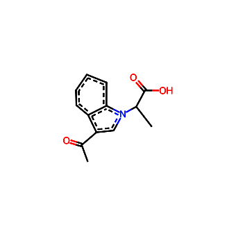 CC(=O)c1cn(C(C)C(=O)O)c2ccccc12